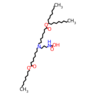 CCCCCCCCCOC(=O)CCCCCCCN(CCCCCCCC(=O)OC(CCCCCCCC)CCCCCCCC)CCCNC(=O)O